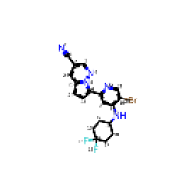 N#Cc1cnn2c(-c3cc(NC4CCC(F)(F)CC4)c(Br)cn3)ccc2c1